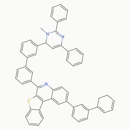 CN1C(c2ccccc2)=NC(c2ccccc2)=CC1c1cccc(-c2cccc(-c3nc4ccc(-c5cccc(C6=CC=CCC6)c5)cc4c4c3sc3ccccc34)c2)c1